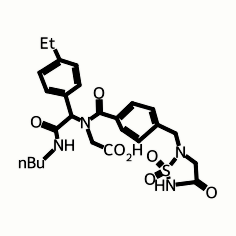 CCCCNC(=O)C(c1ccc(CC)cc1)N(CC(=O)O)C(=O)c1ccc(CN2CC(=O)NS2(=O)=O)cc1